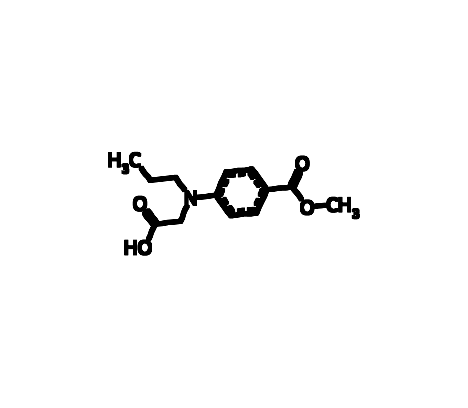 CCCN(CC(=O)O)c1ccc(C(=O)OC)cc1